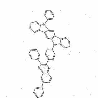 c1ccc(-c2ccc3nc(-c4ccc(-n5c6ccccc6c6cc7c(cc65)c5ccccc5n7-c5ccccc5)cc4)c(-c4ccccc4)nc3c2)cc1